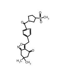 CC1(C)CC(=O)c2c(noc2Cc2ccc(C(=O)N3CCC(S(C)(=O)=O)C3)cc2)C1